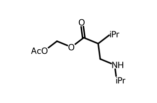 CC(=O)OCOC(=O)C(CNC(C)C)C(C)C